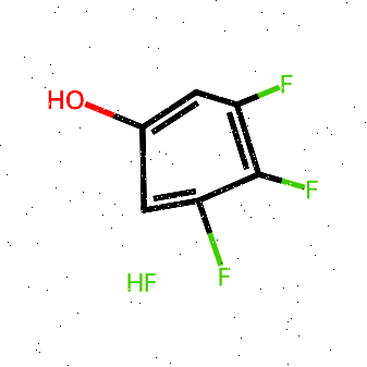 F.Oc1cc(F)c(F)c(F)c1